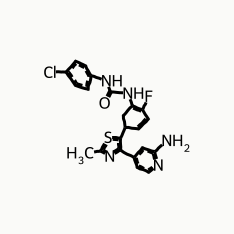 Cc1nc(-c2ccnc(N)c2)c(C2C=CC(F)=C(NC(=O)Nc3ccc(Cl)cc3)C2)s1